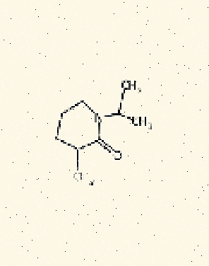 CC1CCCN(C(C)C)C1=O